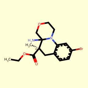 CCOC(=O)[C@]1(C)Cc2ccc(Br)cc2N2CCOCC21N